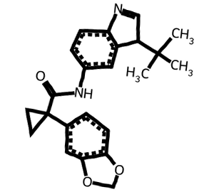 CC(C)(C)C1C=Nc2ccc(NC(=O)C3(c4ccc5c(c4)OCO5)CC3)cc21